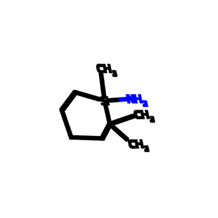 CC1(C)CCCC[Si]1(C)N